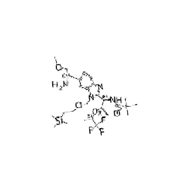 COC[C@@H](N)c1ccc2nc([C@@H](N[S@+]([O-])C(C)(C)C)[C@@H](C)O[C@@H](C)C(F)(F)F)n(COCC[Si](C)(C)C)c2c1